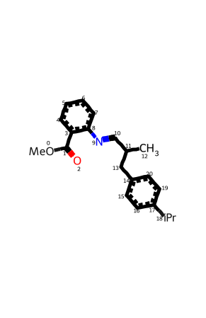 COC(=O)c1ccccc1N=CC(C)Cc1ccc(C(C)C)cc1